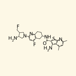 Cc1cc(C)c2c(N)c(C(=O)NC3CCc4nc(N5CC(N)C(CF)C5)cc(F)c4C3)sc2n1